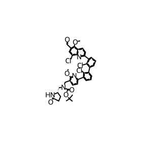 COc1nc(-c2cccc(-c3cccc(-c4ccc5c(OC)c(C=O)cc(Cl)c5n4)c3Cl)c2Cl)ccc1CN(C[C@@H]1CCC(=O)N1)C(=O)OC(C)(C)C